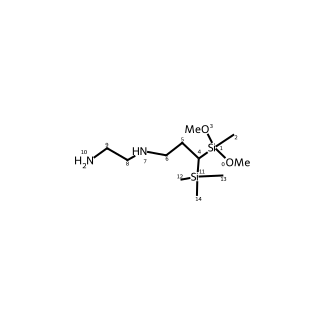 CO[Si](C)(OC)C(CCNCCN)[Si](C)(C)C